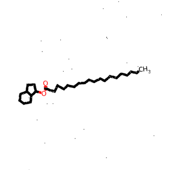 CCCCCCCCCCCCCCCCCCC(=O)OC1CCC2CCCCC21